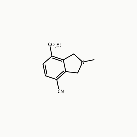 CCOC(=O)c1ccc(C#N)c2c1CN(C)C2